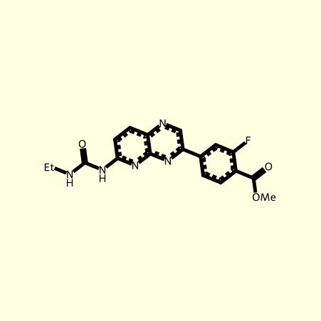 CCNC(=O)Nc1ccc2ncc(-c3ccc(C(=O)OC)c(F)c3)nc2n1